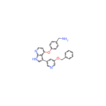 NCc1ccc(Oc2ccnc3[nH]cc(-c4cncc(OCc5ccccc5)c4)c23)cc1